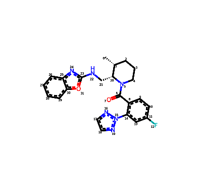 C[C@@H]1CCCN(C(=O)c2ccc(F)cc2-n2nccn2)[C@@H]1CNc1nc2ccccc2o1